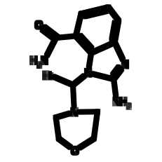 CCC(N1CCOCC1)n1c(N)nc2cccc(C(N)=O)c21